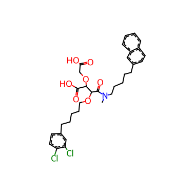 CN(CCCCCc1ccc2ccccc2c1)C(=O)C(OCCCCCc1ccc(Cl)c(Cl)c1)C(OCC(=O)O)C(=O)O